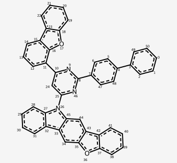 c1ccc(-c2ccc(-c3nc(-c4cccc5c4oc4ccccc45)cc(-n4c5ccccc5c5cc6oc7ccccc7c6cc54)n3)cc2)cc1